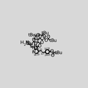 CC(C)(C)C(=O)OC[C@H]1O[C@@H](Oc2nn(CCCN)c3nccc(CCc4ccc(OC(=O)C(C)(C)C)cc4)c23)[C@H](OC(=O)C(C)(C)C)[C@@H](OC(=O)C(C)(C)C)[C@@H]1OC(=O)C(C)(C)C